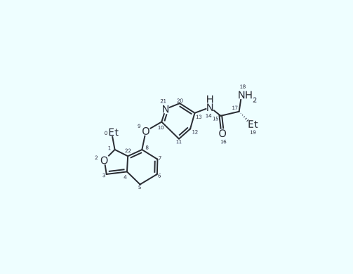 CCC1OC=C2CC=CC(Oc3ccc(NC(=O)[C@H](N)CC)cn3)=C21